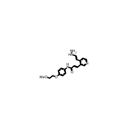 COCCOc1ccc(NC(=O)/C=C/c2cnccc2/C=C/NN)cc1